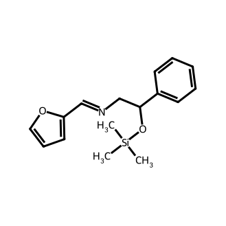 C[Si](C)(C)OC(CN=Cc1ccco1)c1ccccc1